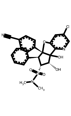 CN(C)S(=O)(=O)[C@H]1[C@@H](O)C2(O)c3ncc(Cl)cc3O[C@@]2(c2ccc(C#N)cc2)[C@@H]1c1ccccc1